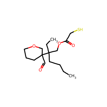 CCCCC(CC)(COC(=O)CS)C1(C=O)CCCOC1